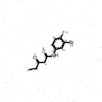 CCC(=O)CC(=O)Nc1ccc(F)c(Br)c1